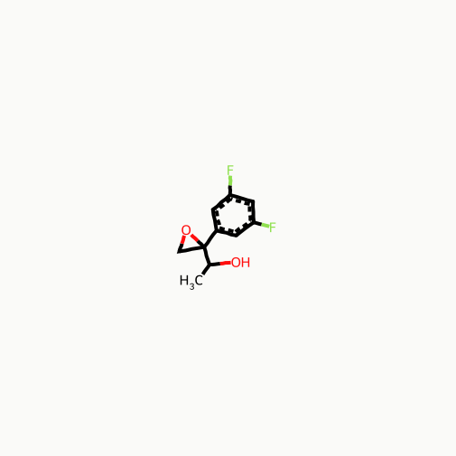 CC(O)C1(c2cc(F)cc(F)c2)CO1